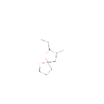 CCC1OC2(CCCO2)CC1C